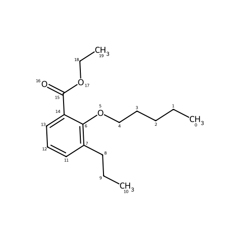 CCCCCOc1c(CCC)cccc1C(=O)OCC